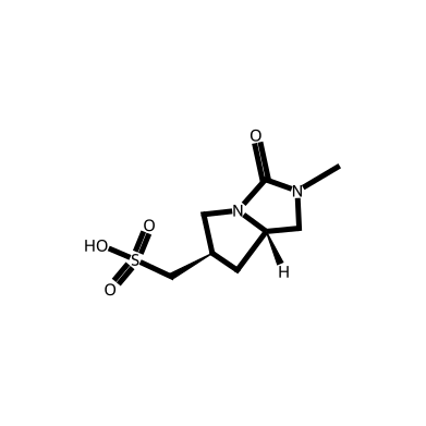 CN1C[C@@H]2C[C@@H](CS(=O)(=O)O)CN2C1=O